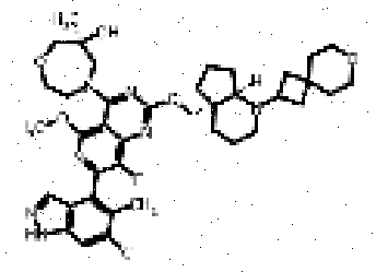 COc1nc(-c2c(C)c(Cl)cc3[nH]ncc23)c(F)c2nc(OC[C@]34CCC[C@H]3N(C3CC5(CCOCC5)C3)CCC4)nc(N3CCOC[C@@](C)(O)C3)c12